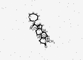 CN1C(=O)CC[C@]2(C)[C@H]3CC[C@]4(C)C(C(=O)N5CCCCCCC5)=CC[C@H]4[C@@H]3CC[C@@H]12